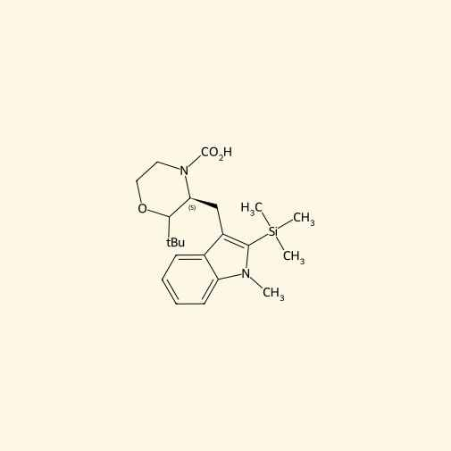 Cn1c([Si](C)(C)C)c(C[C@H]2C(C(C)(C)C)OCCN2C(=O)O)c2ccccc21